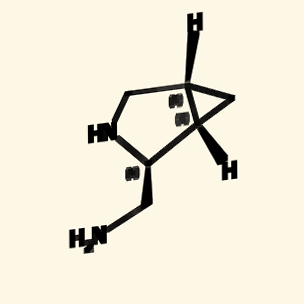 NC[C@H]1NC[C@@H]2C[C@@H]21